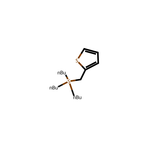 CCCCS(CCCC)(CCCC)Cc1cccs1